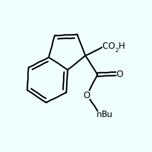 CCCCOC(=O)C1(C(=O)O)C=Cc2ccccc21